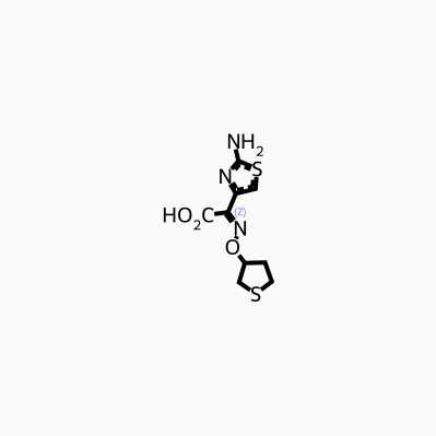 Nc1nc(/C(=N/OC2CCSC2)C(=O)O)cs1